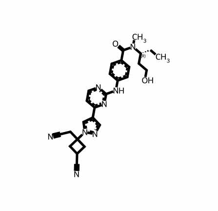 CC[C@H](CCO)N(C)C(=O)c1ccc(Nc2nccc(-c3cnn(C4(CC#N)CC(C#N)C4)c3)n2)cc1